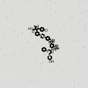 Cc1c(C(=O)O)c(-c2cccc(N3CCN(c4ccc(NS(=O)(=O)c5ccc(NC(CCN6CCC(O)CC6)CSc6ccccc6)c(S(=O)(=O)C(F)(F)F)c5)cc4)CC3)c2)c(-c2ccc(Cl)cc2)n1C